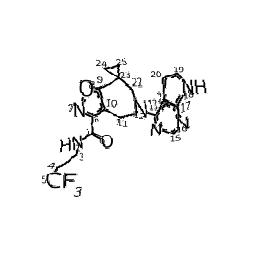 O=C(NCCC(F)(F)F)c1noc2c1CN(c1ncnc3[nH]ccc13)CC21CC1